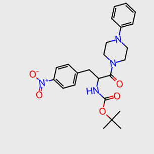 CC(C)(C)OC(=O)NC(Cc1ccc([N+](=O)[O-])cc1)C(=O)N1CCN(c2ccccc2)CC1